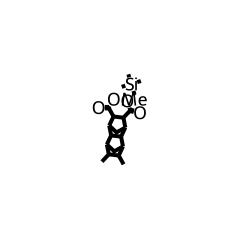 COC(=O)C1C2CC(C1C(=O)OC[Si](C)(C)C)C1C3CC(C(C)C3C)C21